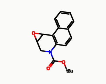 CC(C)(C)OC(=O)N1CC2OC2c2c1ccc1ccccc21